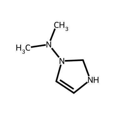 CN(C)N1C=CNC1